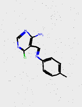 Cc1ccc(/N=C/c2c(N)ncnc2Cl)cc1